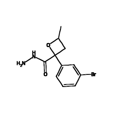 CC1CC(C(=O)NN)(c2cccc(Br)c2)O1